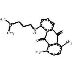 CN(C)CCCNc1cccc2c1C(=O)c1c(N)ccc(N)c1C2=O